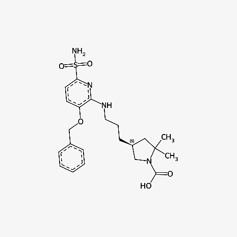 CC1(C)C[C@H](CCCNc2nc(S(N)(=O)=O)ccc2OCc2ccccc2)CN1C(=O)O